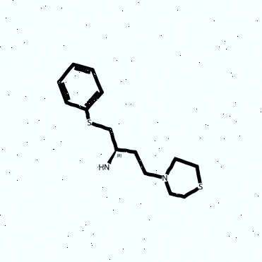 [NH][C@H](CCN1CCSCC1)CSc1ccccc1